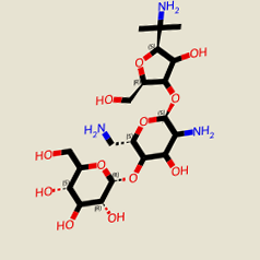 CC(C)(N)[C@@H]1O[C@H](CO)C(O[C@@H]2O[C@@H](CN)C(O[C@H]3OC(CO)[C@@H](O)C(O)[C@H]3O)C(O)C2N)C1O